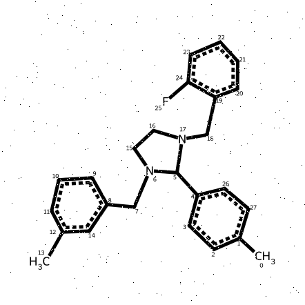 Cc1ccc(C2N(Cc3cccc(C)c3)CCN2Cc2ccccc2F)cc1